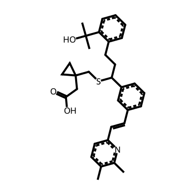 Cc1ccc(C=Cc2cccc(C(CCc3ccccc3C(C)(C)O)SCC3(CC(=O)O)CC3)c2)nc1C